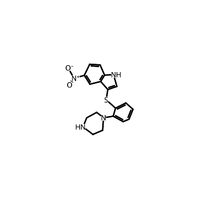 O=[N+]([O-])c1ccc2[nH]cc(Sc3ccccc3N3CCNCC3)c2c1